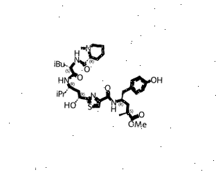 CCC(C)[C@H](NC(=O)[C@H]1CCCCN1C)C(=O)N[C@H](C[C@@H](O)c1nc(C(=O)N[C@@H](Cc2ccc(O)cc2)C[C@H](C)C(=O)OC)cs1)C(C)C